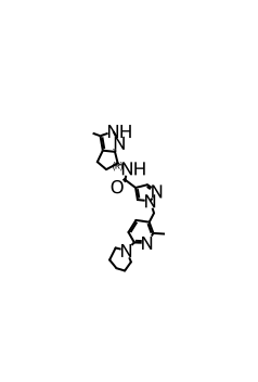 Cc1nc(N2CCCCC2)ccc1Cn1cc(C(=O)N[C@@H]2CCc3c2n[nH]c3C)cn1